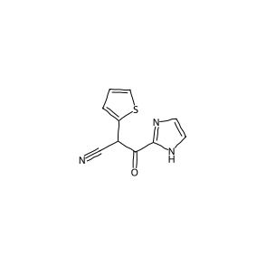 N#CC(C(=O)c1ncc[nH]1)c1cccs1